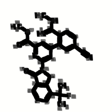 CNC(=N)c1ccc(C#N)cc1-c1cc(C(=O)OC)nc(N2Cc3c(cccc3C(C)(C)F)C2=O)c1